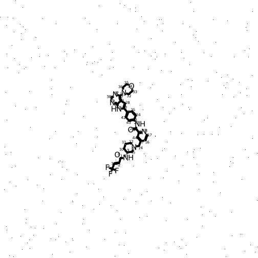 O=C(/C=C/C(F)(F)F)N[C@@H]1CCCN(Cc2ccnc(C(=O)Nc3ccc(-c4cc5c(N6CCOCC6)ncnc5[nH]4)cc3)c2)C1